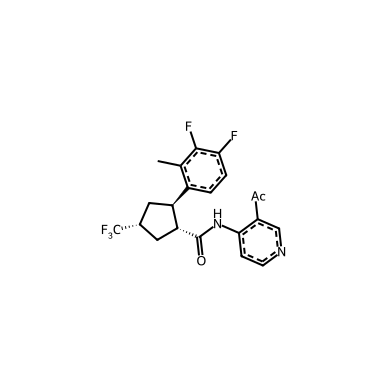 CC(=O)c1cnccc1NC(=O)[C@@H]1C[C@H](C(F)(F)F)C[C@H]1c1ccc(F)c(F)c1C